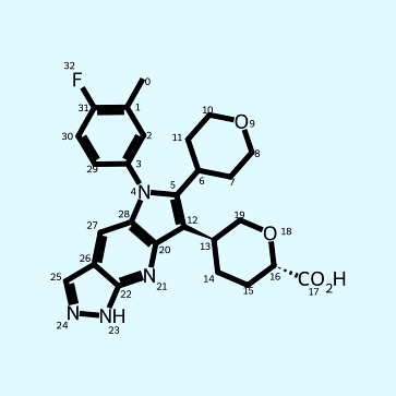 Cc1cc(-n2c(C3CCOCC3)c([C@@H]3CC[C@@H](C(=O)O)OC3)c3nc4[nH]ncc4cc32)ccc1F